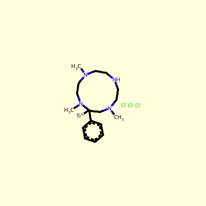 CN1CCNCCN(C)C[C]([Ti+3])(c2ccccc2)N(C)CC1.[Cl-].[Cl-].[Cl-]